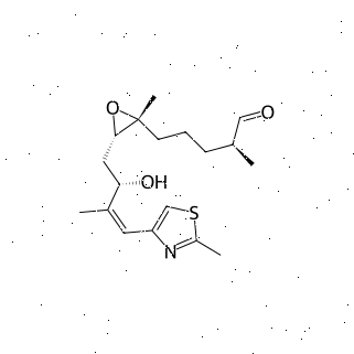 CC(=Cc1csc(C)n1)[C@@H](O)C[C@@H]1O[C@]1(C)CCC[C@H](C)C=O